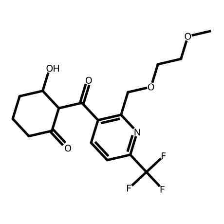 COCCOCc1nc(C(F)(F)F)ccc1C(=O)C1C(=O)CCCC1O